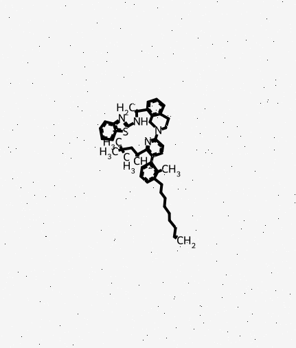 C=CCCCCCCCc1cccc(-c2ccc(N3CCc4cccc(C(=C)Nc5nc6ccccc6s5)c4C3)nc2C(=C)CC(C)(C)C)c1C